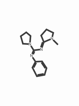 CN1CCCC1=NC(=Nc1ccccc1)N1CCCC1